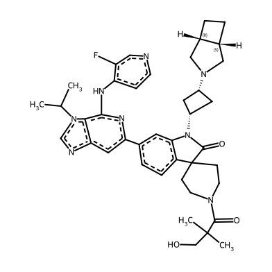 CC(C)n1cnc2cc(-c3ccc4c(c3)N([C@H]3C[C@@H](N5C[C@H]6CC[C@H]6C5)C3)C(=O)C43CCN(C(=O)C(C)(C)CO)CC3)nc(Nc3ccncc3F)c21